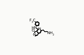 NCCCc1cc2c(c(Nc3cccc(C(F)(F)F)c3)n1)C(=O)[N]C=C2